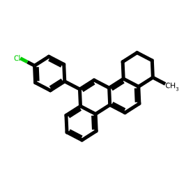 CC1CCCc2c1ccc1c2cc(-c2ccc(Cl)cc2)c2ccccc21